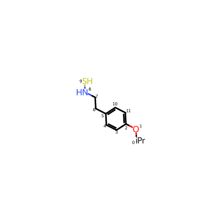 CC(C)Oc1ccc(CCNS)cc1